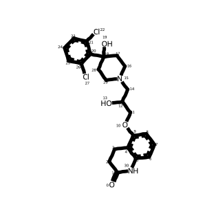 O=C1CCc2c(cccc2OCC(O)CN2CCC(O)(c3c(Cl)cccc3Cl)CC2)N1